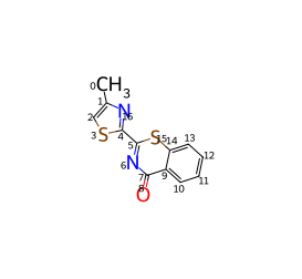 Cc1csc(-c2nc(=O)c3ccccc3s2)n1